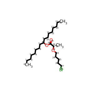 CCCCCCCCC(CCCCCCCC)OC(=O)[C@H](C)OCCCCCBr